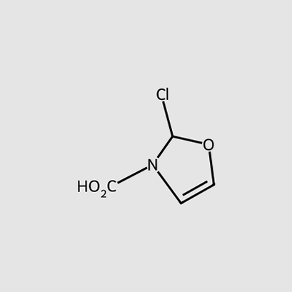 O=C(O)N1C=COC1Cl